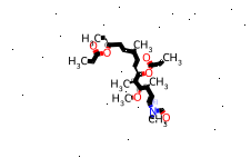 CCC(=O)O[C@H](CC)CC[C@@H](C)CC[C@@H](OC(=O)CC)[C@H](C)[C@H](OC)[C@H](C)/C=C/N(C)C=O